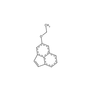 CCOc1cc2c3c(cccc3c1)C=C2